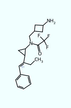 CC/C(=C\c1ccccc1)C1CC1N(CC1CC(N)C1)C(=O)C(F)(F)F